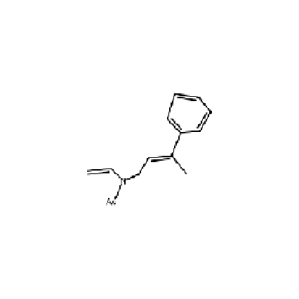 C=CN(C/C=C(\C)c1ccccc1)C(C)=O